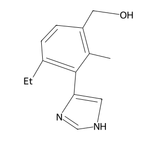 CCc1ccc(CO)c(C)c1-c1c[nH]cn1